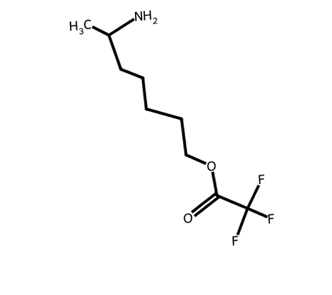 CC(N)CCCCCOC(=O)C(F)(F)F